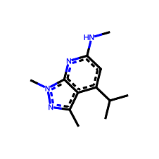 CNc1cc(C(C)C)c2c(C)nn(C)c2n1